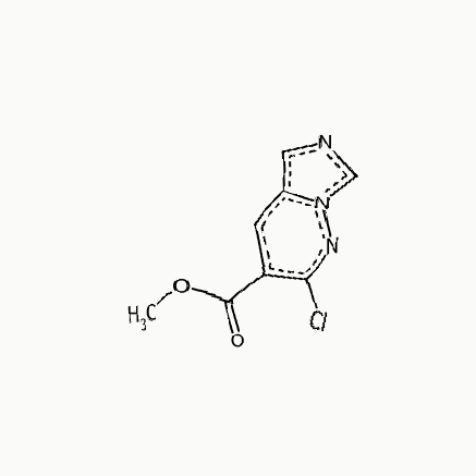 COC(=O)c1cc2cncn2nc1Cl